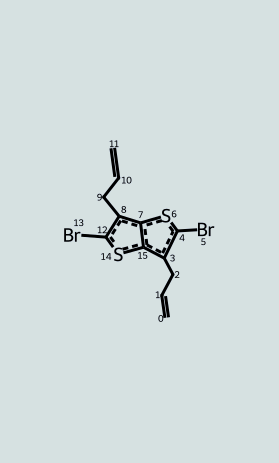 C=CCc1c(Br)sc2c(CC=C)c(Br)sc12